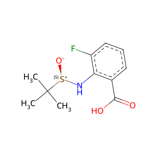 CC(C)(C)[S@@+]([O-])Nc1c(F)cccc1C(=O)O